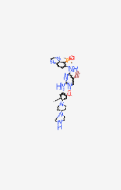 COc1cc(N2CCC(N3CCNCC3)CC2)c(C)cc1Nc1ncc(Br)c(Nc2ccc3nccnc3c2P(C)(C)=O)n1